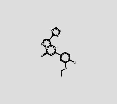 CCOc1cc(-c2cc(=O)n3ncc(-c4ncco4)c3[nH]2)ccc1Cl